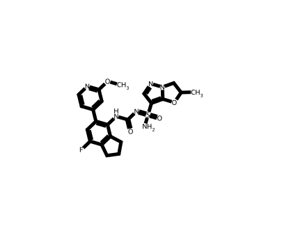 COc1cc(-c2cc(F)c3c(c2NC(=O)N=S(N)(=O)c2cnn4c2OC(C)C4)CCC3)ccn1